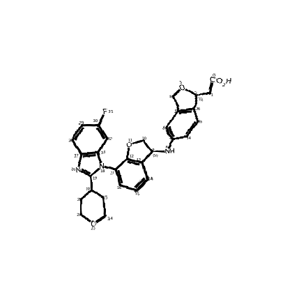 O=C(O)C[C@@H]1OCc2cc(N[C@@H]3COc4c3cccc4-n3c(C4CCOCC4)nc4ccc(F)cc43)ccc21